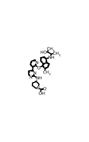 Cc1ccc2c(NC(C)C(C)O)cccc2c1Oc1ncccc1-c1ccnc(N[C@H]2CCCN(C(=O)O)C2)n1